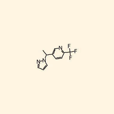 CC(c1ccc(C(F)(F)F)nc1)n1cccn1